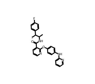 CC(NC(=O)c1cccnc1Oc1ccc(Nc2ccccn2)cc1)C(I)c1ccc(F)cc1